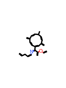 C=CC\C=C/N=C(C(=C)OC=C)/C1=C/C(=C)/C=C\C(C)/C=C\C(=C)/C=C\1